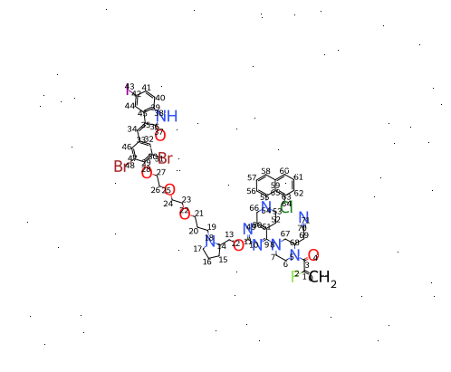 C=C(F)C(=O)N1CCN(c2nc(OCC3CCCN3CCCOCCOCCOc3c(Br)cc(C=C4C(=O)Nc5ccc(I)cc54)cc3Br)nc3c2CCN(c2cccc4cccc(Cl)c24)C3)CC1CC#N